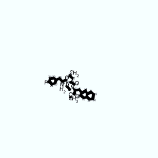 C=CC[C@H]1C(=O)N(C(Cc2ccc3ccccc3c2)C(=O)OC)CCN1C(=O)C(N)Cc1ccc(F)cc1